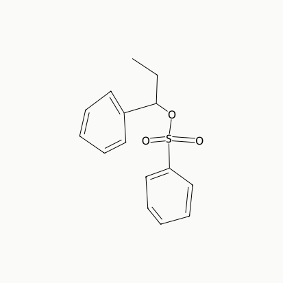 CCC(OS(=O)(=O)c1ccccc1)c1ccccc1